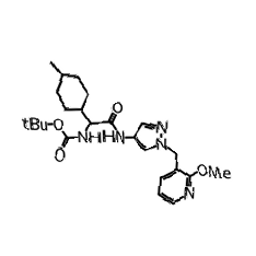 COc1ncccc1Cn1cc(NC(=O)C(NC(=O)OC(C)(C)C)C2CCC(C)CC2)cn1